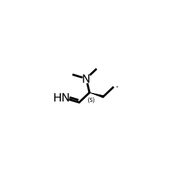 [CH2]C[C@@H](C=N)N(C)C